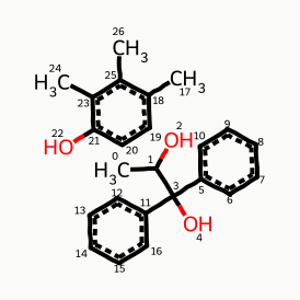 CC(O)C(O)(c1ccccc1)c1ccccc1.Cc1ccc(O)c(C)c1C